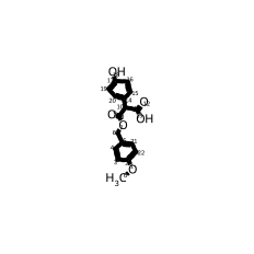 COc1ccc(COC(=O)C(C(=O)O)c2ccc(O)cc2)cc1